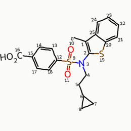 Cc1c(N(CCC2CC2)S(=O)(=O)c2ccc(C(=O)O)cc2)sc2ccccc12